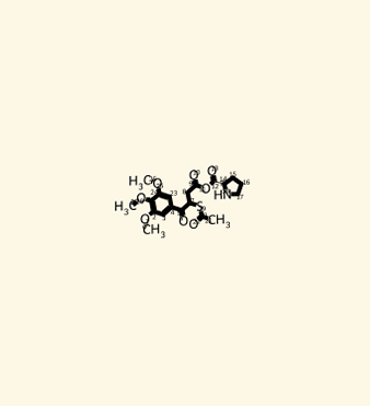 COc1cc(C(=O)C(CC(=O)OC(=O)[C@@H]2CCCN2)SC(C)=O)cc(OC)c1OC